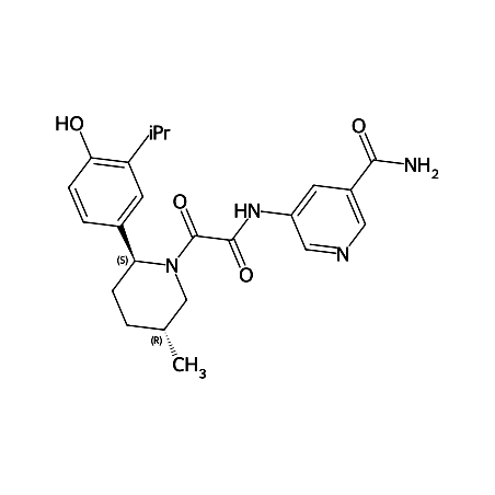 CC(C)c1cc([C@@H]2CC[C@@H](C)CN2C(=O)C(=O)Nc2cncc(C(N)=O)c2)ccc1O